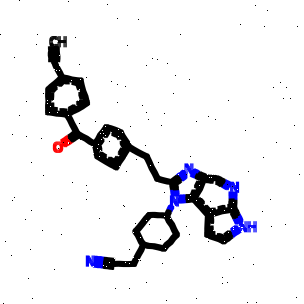 C#Cc1ccc(C(=O)c2ccc(CCc3nc4cnc5[nH]ccc5c4n3C3CCC(CC#N)CC3)cc2)cc1